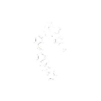 CC(C)(O)c1ccccc1CCC(SCC1(CC(=O)[O-])CC1)c1cccc(/C=C/c2ccc3sc(S(=O)(=O)c4ccccc4)cc3n2)c1.[Na+]